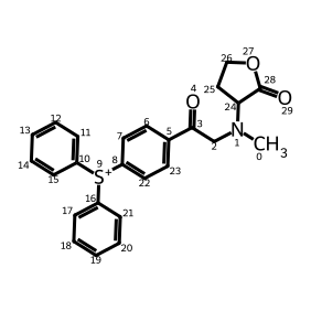 CN(CC(=O)c1ccc([S+](c2ccccc2)c2ccccc2)cc1)C1CCOC1=O